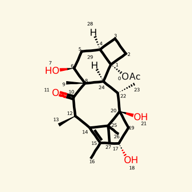 CC(=O)O[C@@]12CC[C@@H]1C[C@H](O)[C@@]1(C)C(=O)[C@H](C)C3=C(C)[C@@H](O)C[C@@](O)([C@@H](C)[C@H]21)C3(C)C